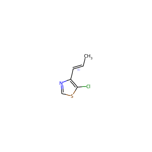 C/C=C/c1ncsc1Cl